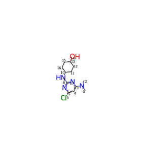 CN(C)c1cc(Cl)nc(NC2CCC(O)CC2)n1